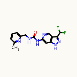 Cc1cccc(CNC(=O)Nc2cc3[nH]nc(C(F)F)c3cn2)n1